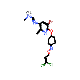 CCN(C)/C=N/c1cc(Br)c(OC2CCC(=NOCC=C(Cl)Cl)CC2)nc1C